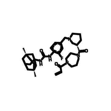 C=CC(=O)N1CCCN(C(=O)[C@H]2CCCN(Cc3ccc(NC(=O)NC45CC6C[C@@](C)(C4)C[C@](C)(C6)C5)c(F)c3)C2)CC1